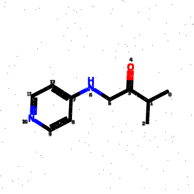 CC(C)C(=O)CNc1ccncc1